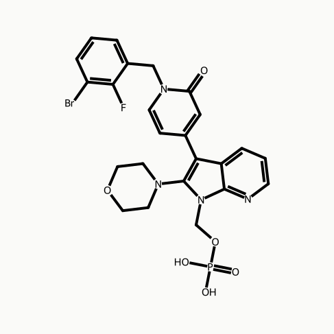 O=c1cc(-c2c(N3CCOCC3)n(COP(=O)(O)O)c3ncccc23)ccn1Cc1cccc(Br)c1F